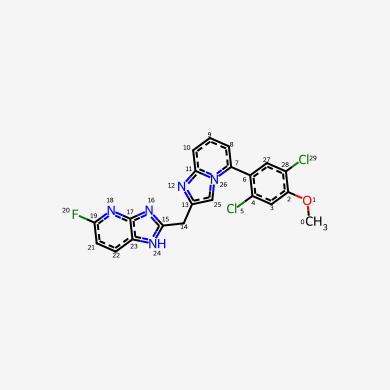 COc1cc(Cl)c(-c2cccc3nc(Cc4nc5nc(F)ccc5[nH]4)cn23)cc1Cl